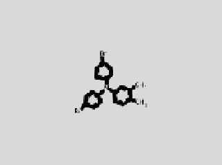 Cc1ccc(N(c2ccc(Br)cc2)c2ccc(Br)cc2)cc1C